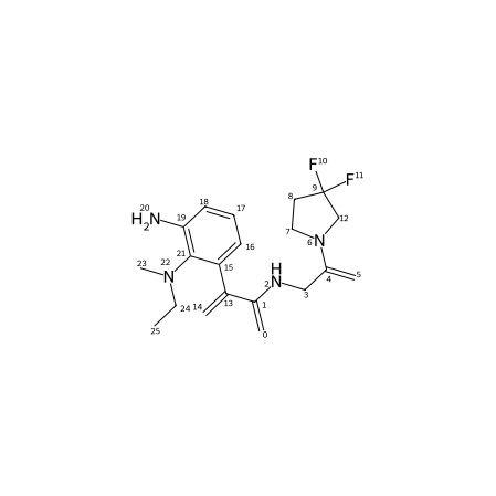 C=C(NCC(=C)N1CCC(F)(F)C1)C(=C)c1cccc(N)c1N(C)CC